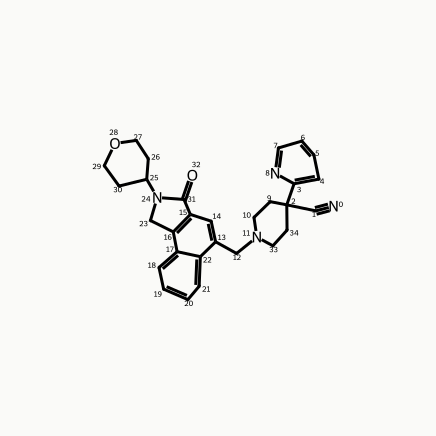 N#CC1(c2ccccn2)CCN(Cc2cc3c(c4ccccc24)CN(C2CCOCC2)C3=O)CC1